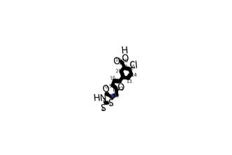 O=C1NC(=S)S/C1=C/c1ccc(-c2ccc(Cl)c(C(=O)O)c2)o1